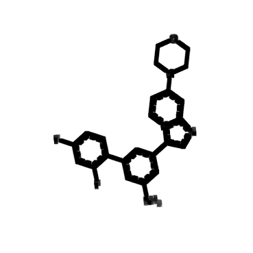 Nc1cc(-c2ccc(F)cc2F)cc(-c2cnc3cc(N4CCOCC4)ccn23)c1